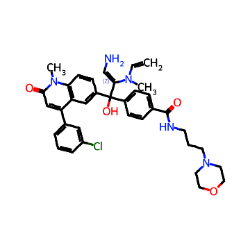 C=CN(C)/C(=C\N)C(O)(c1ccc(C(=O)NCCCN2CCOCC2)cc1)c1ccc2c(c1)c(-c1cccc(Cl)c1)cc(=O)n2C